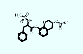 CS(=O)(=O)NC(Cc1ccccc1)C(=O)Oc1cccc2c1OC[C@H](O[N+](=O)[O-])C2